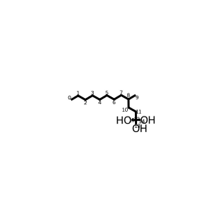 CCCCCCCCC(C)CCC(O)(O)O